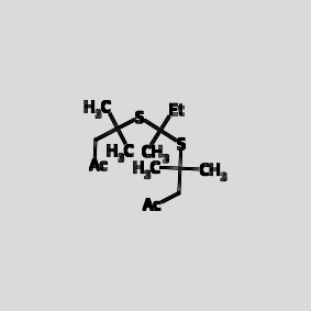 CCC(C)(SC(C)(C)CC(C)=O)SC(C)(C)CC(C)=O